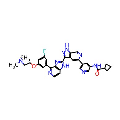 CN(C)CCOc1cc(F)cc(-c2nccc3[nH]c(-c4n[nH]c5cnc(-c6cncc(NC(=O)C7CCC7)c6)cc45)nc23)c1